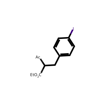 CCOC(=O)C(Cc1ccc(I)cc1)C(C)=O